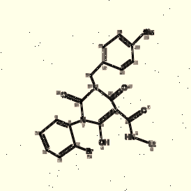 CCNC(=O)c1c(O)n(-c2ccccc2Br)c(=O)n(Cc2ccc(C(C)(C)C)cc2)c1=O